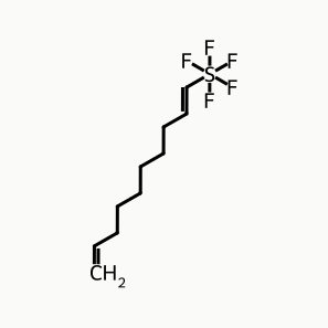 C=CCCCCCCC=CS(F)(F)(F)(F)F